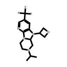 CC(C)N1CCN2c3ncc(C(F)(F)F)cc3N(C3COC3)C2C1